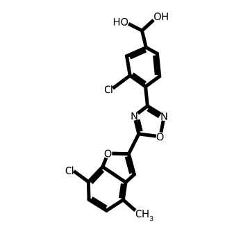 Cc1ccc(Cl)c2oc(-c3nc(-c4ccc(C(O)O)cc4Cl)no3)cc12